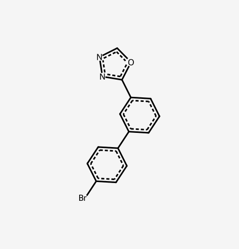 Brc1ccc(-c2cccc(-c3nnco3)c2)cc1